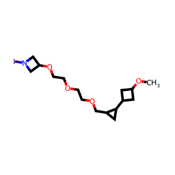 COC1CC(C2CC2COCCOCCOC2CN(I)C2)C1